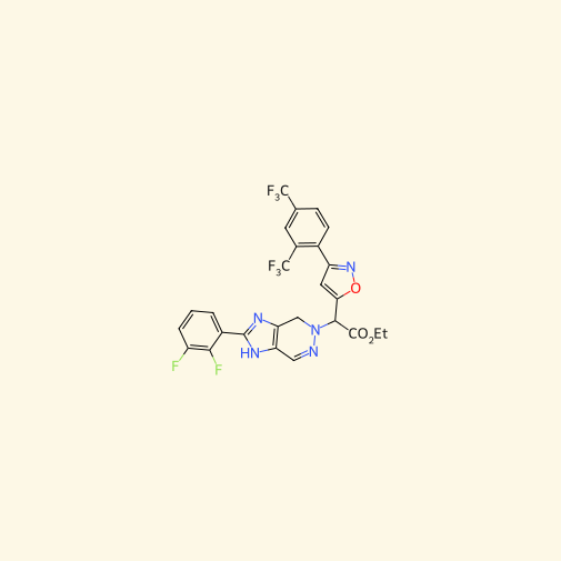 CCOC(=O)C(c1cc(-c2ccc(C(F)(F)F)cc2C(F)(F)F)no1)N1Cc2nc(-c3cccc(F)c3F)[nH]c2C=N1